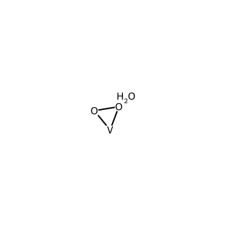 O.[O]1[O][V]1